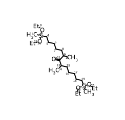 CCO[Si](C)(CCCCCC(C)C(=O)C(C)CCCCC[Si](C)(OCC)OCC)OCC